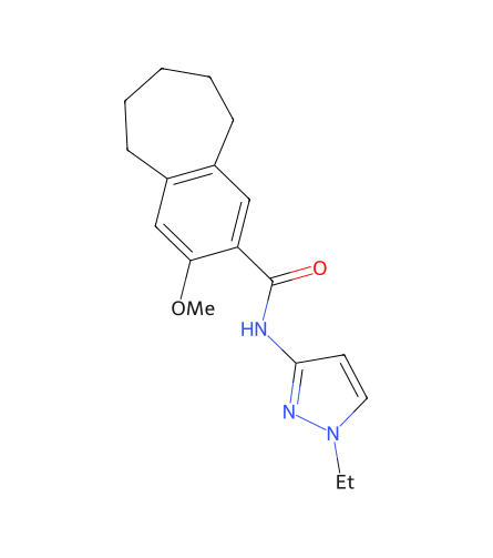 CCn1ccc(NC(=O)c2cc3c(cc2OC)CCCCC3)n1